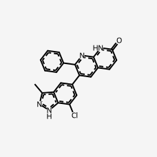 Cc1n[nH]c2c(Cl)cc(-c3cc4ccc(=O)[nH]c4nc3-c3ccccc3)cc12